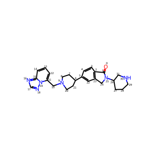 O=C1c2ccc(C3CCN(Cc4cccc5ncnn45)CC3)cc2CN1C1CCCNC1